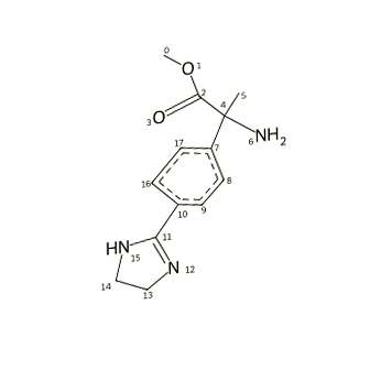 COC(=O)C(C)(N)c1ccc(C2=NCCN2)cc1